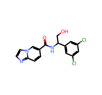 O=C(NC(CO)c1cc(Cl)cc(Cl)c1)c1ccc2nccn2c1